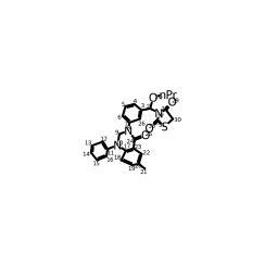 CCCOC(c1cccc(N2CN(c3ccccc3)c3ccc(C)cc3C2=O)c1)N1C(=O)CSC1=O